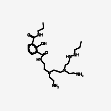 CCCNNCCN(CCN)CCN(CCN)CCNC(=O)c1cccc(C(=O)NCCC)c1O